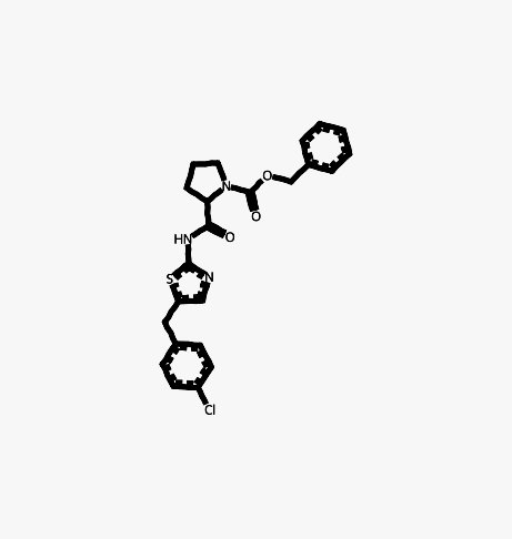 O=C(Nc1ncc(Cc2ccc(Cl)cc2)s1)C1CCCN1C(=O)OCc1ccccc1